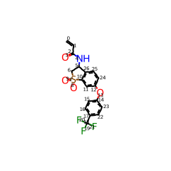 C=CC(=O)NC1CS(=O)(=O)c2cc(Oc3ccc(C(F)(F)F)cc3)ccc21